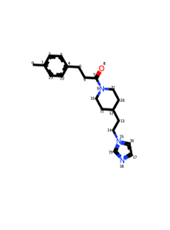 Cc1ccc(CCC(=O)N2CCC(CCn3ccnc3)CC2)cc1